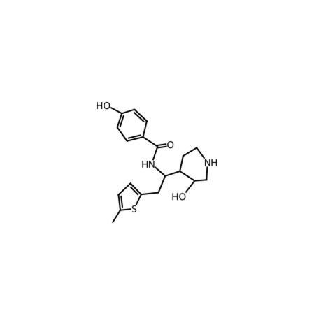 Cc1ccc(CC(NC(=O)c2ccc(O)cc2)C2CCNCC2O)s1